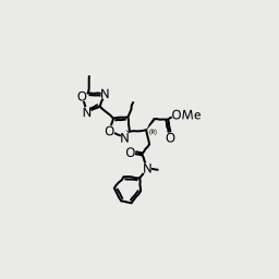 COC(=O)C[C@@H](CC(=O)N(C)c1ccccc1)c1noc(-c2noc(C)n2)c1C